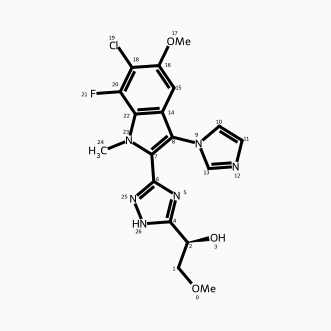 COC[C@H](O)c1nc(-c2c(-n3ccnc3)c3cc(OC)c(Cl)c(F)c3n2C)n[nH]1